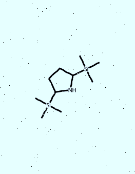 C[Si](C)(C)C1CCC([Si](C)(C)C)N1